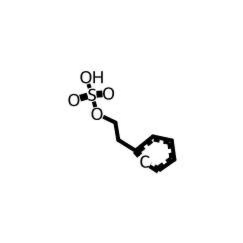 O=S(=O)(O)OCCc1ccccc1